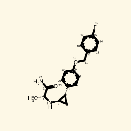 C[C@@H](N[C@@H]1C[C@H]1c1ccc(OCc2ccc(F)cc2)cc1)C(N)=O